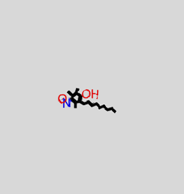 CCCCCCCCCc1c(C)c(N=O)c(C)c(C)c1O